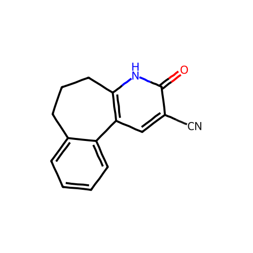 N#Cc1cc2c([nH]c1=O)CCCc1ccccc1-2